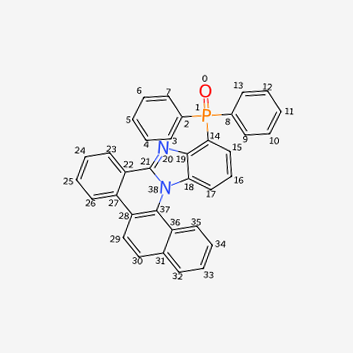 O=P(c1ccccc1)(c1ccccc1)c1cccc2c1nc1c3ccccc3c3ccc4ccccc4c3n21